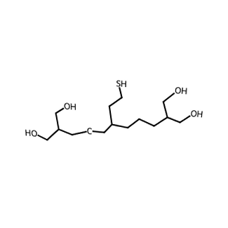 OCC(CO)CCCC(CCS)CCCC(CO)CO